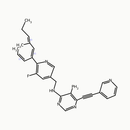 C\C=C/C(=C\C(C)=C\CC)c1ncc(CNc2ncnc(C#Cc3cccnc3)c2P)cc1F